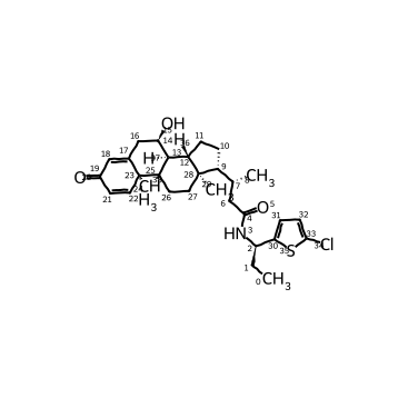 CC[C@@H](NC(=O)C[C@@H](C)[C@H]1CC[C@H]2[C@@H]3[C@H](O)CC4=CC(=O)C=C[C@]4(C)[C@H]3CC[C@]12C)c1ccc(Cl)s1